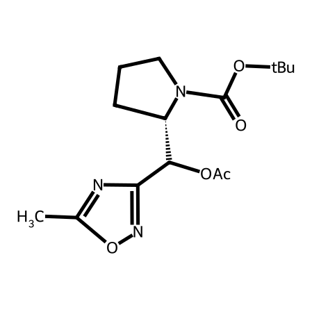 CC(=O)OC(c1noc(C)n1)[C@@H]1CCCN1C(=O)OC(C)(C)C